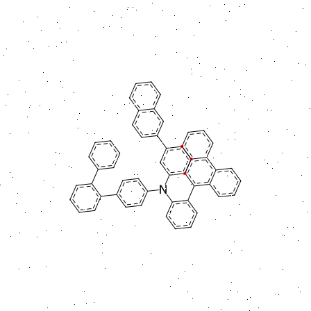 c1ccc(-c2ccccc2-c2ccc(N(c3cccc(-c4ccc5ccccc5c4)c3)c3ccccc3-c3cc4ccccc4c4ccccc34)cc2)cc1